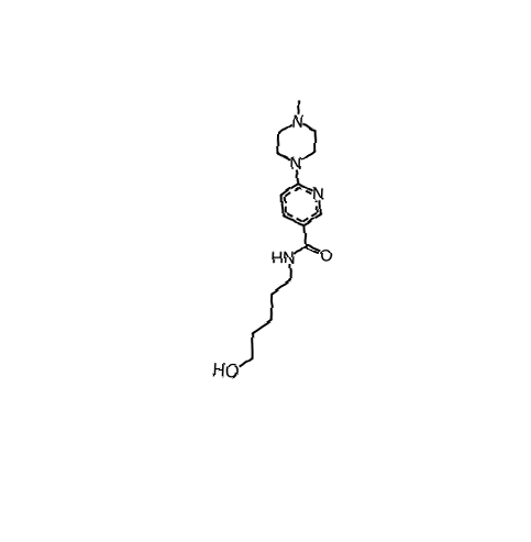 CN1CCN(c2ccc(C(=O)NCCCCCO)cn2)CC1